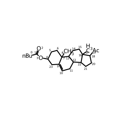 CCCCC(=O)OC1CCC2(C)C(=CCC3C2CCC2(C)C(C(C)=O)CCC32)C1